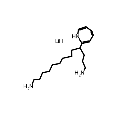 NCCCCCCCCCC(CCCN)C1=CC=CC=CN1.[LiH]